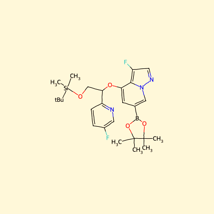 CC1(C)OB(c2cc(OC(CO[Si](C)(C)C(C)(C)C)c3ccc(F)cn3)c3c(F)cnn3c2)OC1(C)C